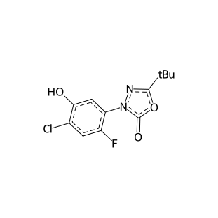 CC(C)(C)c1nn(-c2cc(O)c(Cl)cc2F)c(=O)o1